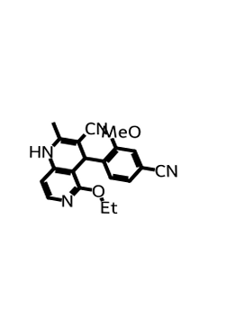 CCOc1nccc2c1C(c1ccc(C#N)cc1OC)C(C#N)=C(C)N2